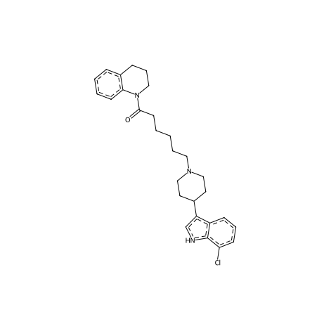 O=C(CCCCCN1CCC(c2c[nH]c3c(Cl)cccc23)CC1)N1CCCc2ccccc21